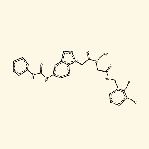 CC(C)N(CC(=O)NCc1cccc(Cl)c1F)C(=O)Cn1ncc2cc(NC(=O)Nc3ccccc3)ccc21